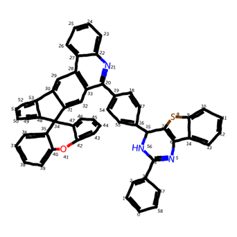 c1ccc(C2=Nc3c(sc4ccccc34)C(c3ccc(-c4nc5ccccc5c5cc6c(cc45)C4(c5ccccc5Oc5ccccc54)c4ccccc4-6)cc3)N2)cc1